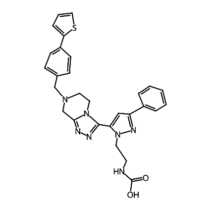 O=C(O)NCCn1nc(-c2ccccc2)cc1-c1nnc2n1CCN(Cc1ccc(-c3cccs3)cc1)C2